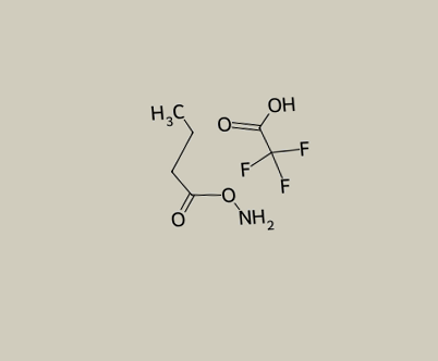 CCCC(=O)ON.O=C(O)C(F)(F)F